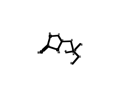 CC[N+](C)(C)CC1COC(=O)O1